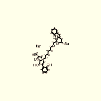 CCCCC(CC)CC(Cc1ccccc1O)NCCOCCCCCC[N+](CCO)(CCc1ccccc1O)CC(CC)CCCC.[Br-]